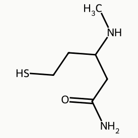 CNC(CCS)CC(N)=O